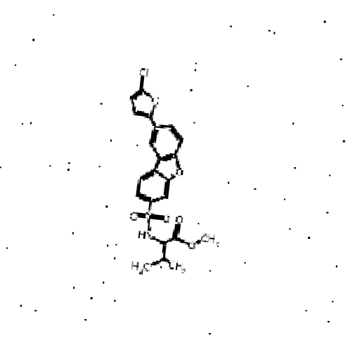 COC(=O)C(NS(=O)(=O)c1ccc2c(c1)oc1ccc(-c3ccc(Cl)o3)cc12)C(C)C